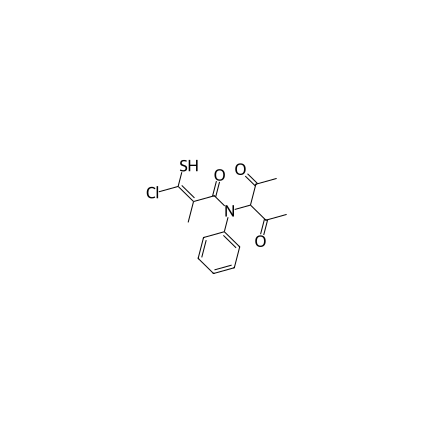 CC(=O)C(C(C)=O)N(C(=O)/C(C)=C(\S)Cl)c1ccccc1